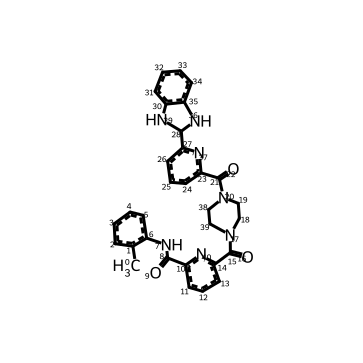 Cc1ccccc1NC(=O)c1cccc(C(=O)N2CCN(C(=O)c3cccc(C4Nc5ccccc5N4)n3)CC2)n1